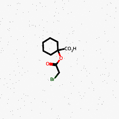 O=C(CBr)OC1(C(=O)O)CCCCC1